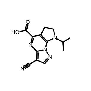 CC(C)N1CCc2c(C(=O)O)nc3c(C#N)cnn3c21